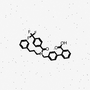 O=C(O)c1ccccc1-c1ccc(CN(CCCc2ccccc2)C(=O)c2ccc(C(F)(F)F)cc2)cc1